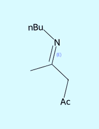 CCCC/N=C(\C)CC(C)=O